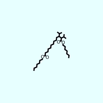 CCCCCCCOC(=O)CCCCCCCCCC(C(C)C)C(C(=O)OCCCCCCC)C(C)C